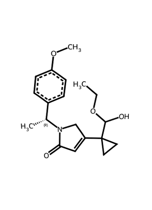 CCOC(O)C1(C2=CC(=O)N([C@H](C)c3ccc(OC)cc3)C2)CC1